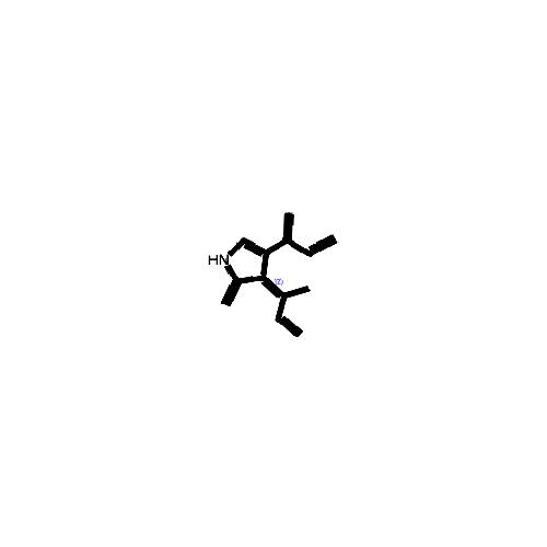 C=CC(=C)c1c[nH]c(=C)/c1=C(/C)C=C